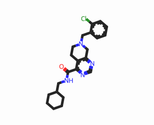 O=C(NCC1CCCCC1)c1ncnc2c1CCN(Cc1ccccc1Cl)C2